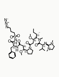 CC[C@H](C)[C@@H]([C@@H](CC(=O)N1CCC[C@H]1[C@H](OC)[C@@H](C)C(=O)N[C@@H](Cc1ccccc1)C(=O)NS(=O)(=O)CCCN=[N+]=[N-])OC)N(C)C(=O)[C@@H](N=C1N(C)CCN1C)C(C)C